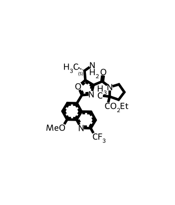 CCOC(=O)C1(C)CCCN1C(=O)c1nc(-c2ccc(OC)c3nc(C(F)(F)F)ccc23)oc1[C@H](C)N